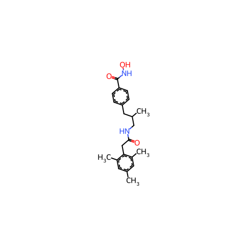 Cc1cc(C)c(CC(=O)NCC(C)Cc2ccc(C(=O)NO)cc2)c(C)c1